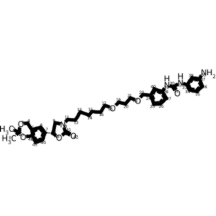 CC1(C)OCc2cc([C@@H]3CN(CCCCCCCOCCCOCc4cccc(NC(=O)Nc5cccc(N)c5)c4)C(=O)O3)ccc2O1